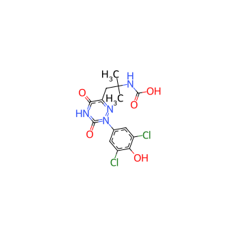 CC(C)(Cc1nn(-c2cc(Cl)c(O)c(Cl)c2)c(=O)[nH]c1=O)NC(=O)O